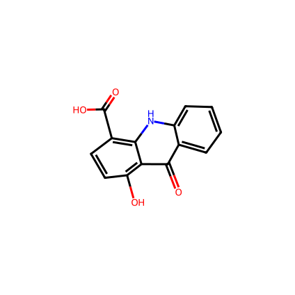 O=C(O)c1ccc(O)c2c(=O)c3ccccc3[nH]c12